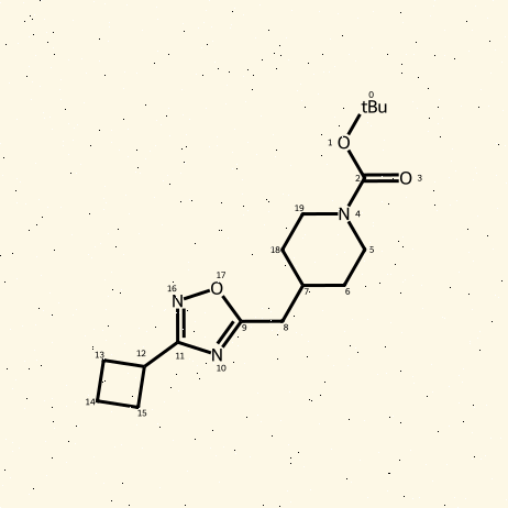 CC(C)(C)OC(=O)N1CCC(Cc2nc(C3CCC3)no2)CC1